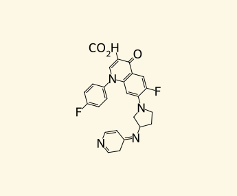 O=C(O)c1cn(-c2ccc(F)cc2)c2cc(N3CCC(N=C4C=CN=CC4)C3)c(F)cc2c1=O